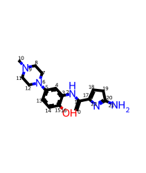 C=C(Nc1cc(N2CCN(C)CC2)ccc1O)C1=CCC(N)=N1